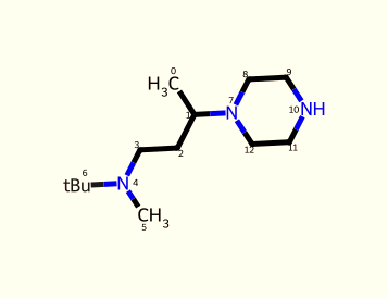 CC(CCN(C)C(C)(C)C)N1CCNCC1